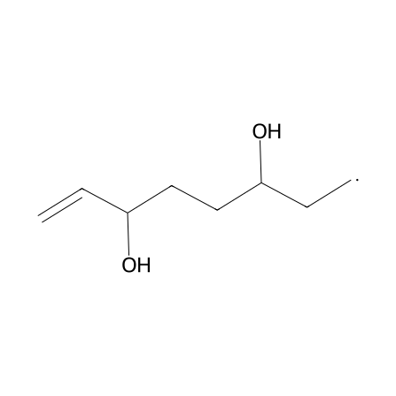 [CH2]CC(O)CCC(O)C=C